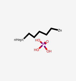 CCCCCCCCCCC[CH2][Zn].O=P(O)(O)O